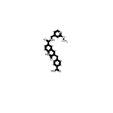 COc1cc(CNC(=O)c2ccc3[nH]c(=O)c(Cc4ccc(C(=O)O)cc4)cc3c2)ccn1